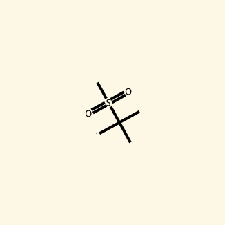 [CH2]C(C)(C)S(C)(=O)=O